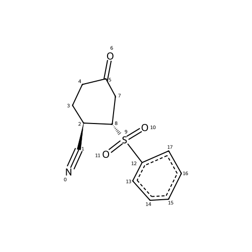 N#C[C@H]1CCC(=O)C[C@@H]1S(=O)(=O)c1ccccc1